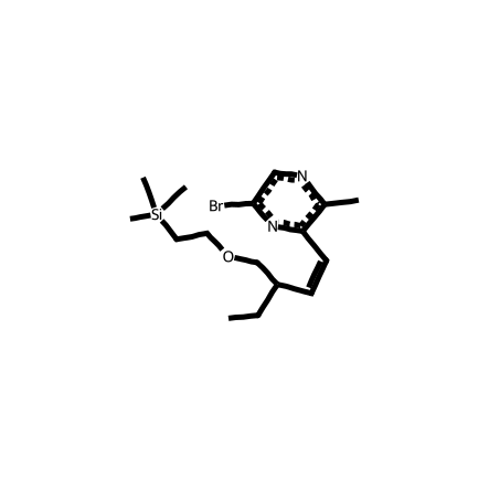 CCC(/C=C\c1nc(Br)cnc1C)COCC[Si](C)(C)C